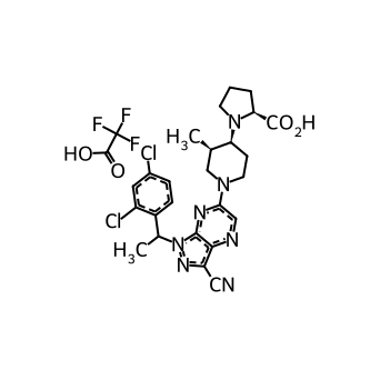 CC(c1ccc(Cl)cc1Cl)n1nc(C#N)c2ncc(N3CC[C@H](N4CCC[C@H]4C(=O)O)[C@H](C)C3)nc21.O=C(O)C(F)(F)F